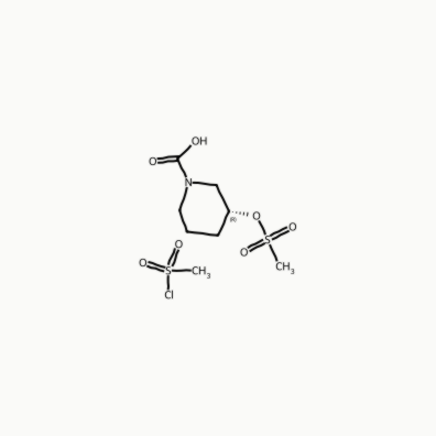 CS(=O)(=O)Cl.CS(=O)(=O)O[C@@H]1CCCN(C(=O)O)C1